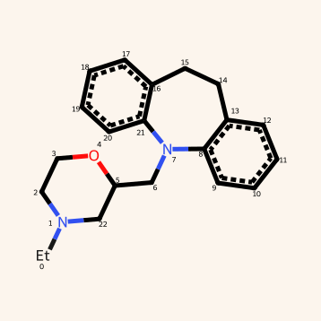 CCN1CCOC(CN2c3ccccc3CCc3ccccc32)C1